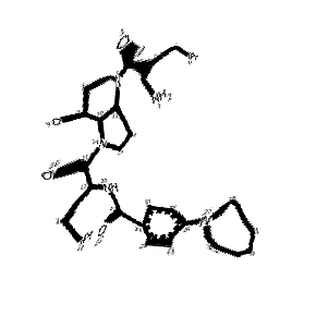 CC(C)CC(N)C(=O)N1CC(=O)C2C1CCN2C(=O)C(CC(C)C)NC(=O)c1ccc(N2CCCC2)cc1